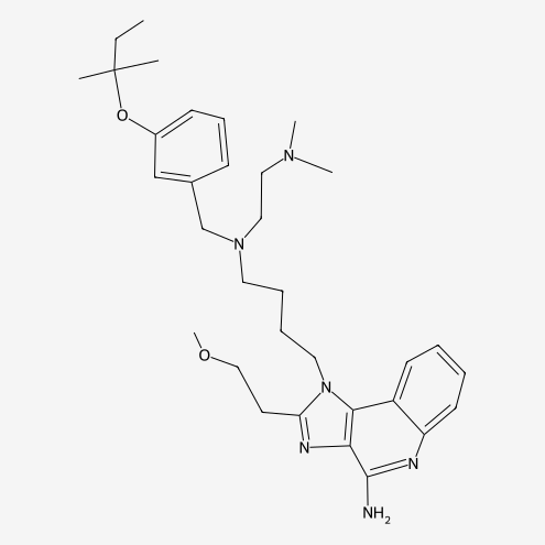 CCC(C)(C)Oc1cccc(CN(CCCCn2c(CCOC)nc3c(N)nc4ccccc4c32)CCN(C)C)c1